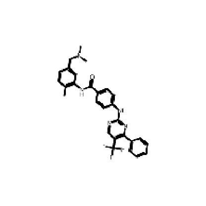 Cc1ccc(CN(C)C)cc1NC(=O)c1ccc(Nc2ncc(C(F)(F)F)c(-c3ccccc3)n2)cc1